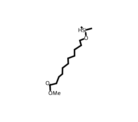 COC(=O)CCCCCCCCCCO[SiH](C)C